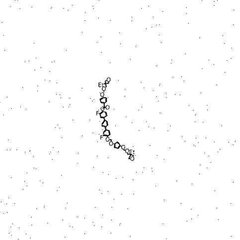 CCC1(COCOc2ccc(OCOc3ccc(-c4ccc(-c5ccc(OC(=O)c6ccc(OCOCC7(CC)COC7)cc6)c(F)c5)cc4)cc3F)cc2)COC1